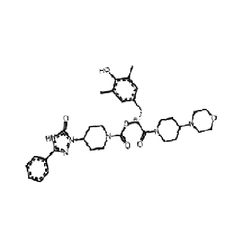 Cc1cc(C[C@@H](OC(=O)N2CCC(n3nc(-c4ccccc4)[nH]c3=O)CC2)C(=O)N2CCC(N3CCOCC3)CC2)cc(C)c1O